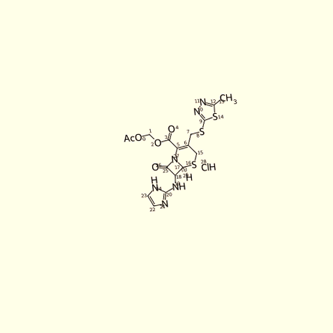 CC(=O)OCOC(=O)C1=C(CSc2nnc(C)s2)CS[C@H]2C(Nc3ncc[nH]3)C(=O)N12.Cl